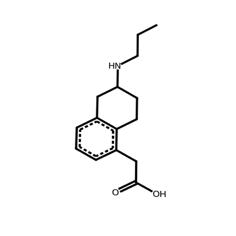 CCCNC1CCc2c(CC(=O)O)cccc2C1